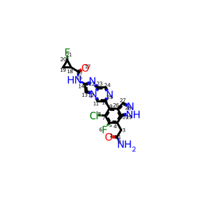 NC(=O)Cc1c(F)c(Cl)c(-c2cn3cc(NC(=O)C4CC4F)nc3cn2)c2cn[nH]c12